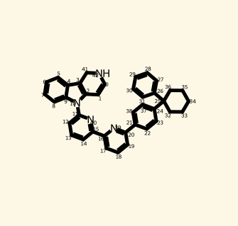 C1=Cc2c(c3ccccc3n2-c2cccc(-c3cccc(-c4ccc(C5(c6ccccc6)CCCCC5)cc4)n3)n2)CN1